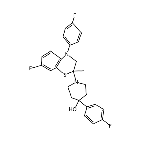 CC1(N2CCC(O)(c3ccc(F)cc3)CC2)CN(c2ccc(F)cc2)c2ccc(F)cc2S1